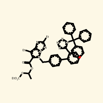 CCOC(=O)OC(C)OC(=O)c1c(CC)c2nc(CC)nn2n1Cc1ccc(-c2ccccc2-c2nnnn2C(c2ccccc2)(c2ccccc2)c2ccccc2)cc1